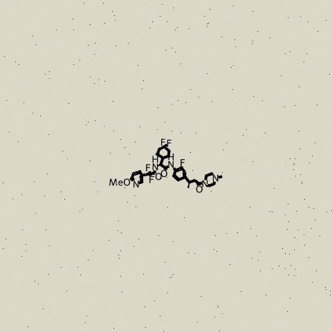 COc1ccc(C(F)(F)C(=O)N[C@H](C(=O)Nc2ccc([C@H](C)CC(=O)N3CCN(C)CC3)cc2F)C2CCC(F)(F)CC2)cn1